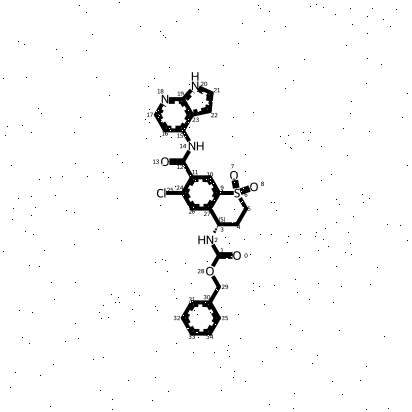 O=C(N[C@H]1CCS(=O)(=O)c2cc(C(=O)Nc3ccnc4[nH]ccc34)c(Cl)cc21)OCc1ccccc1